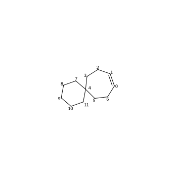 C1=CCCC2(CC1)CCCCC2